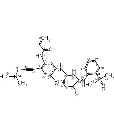 C=CC(=O)Nc1cc(NC2NCC(Cl)C(Nc3ccccc3P(C)(C)=O)N2)c(CC)cc1C#CCN(C)C